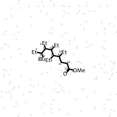 CCC(C)C(CC)C(CC)C(CC)C(CC)C(CC)CCC(=O)OC